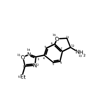 CCc1nc(-c2ccc3c(c2)OCC3N)no1